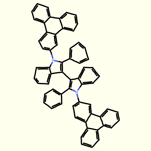 c1ccc(-c2c(-c3c(-c4ccccc4)n(-c4ccc5c6ccccc6c6ccccc6c5c4)c4ccccc34)c3ccccc3n2-c2ccc3c4ccccc4c4ccccc4c3c2)cc1